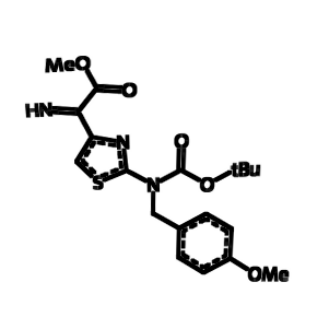 COC(=O)C(=N)c1csc(N(Cc2ccc(OC)cc2)C(=O)OC(C)(C)C)n1